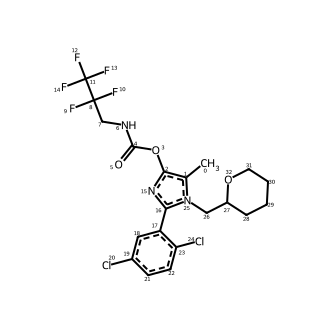 Cc1c(OC(=O)NCC(F)(F)C(F)(F)F)nc(-c2cc(Cl)ccc2Cl)n1CC1CCCCO1